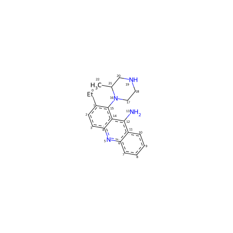 CCc1ccc2nc3ccccc3c(N)c2c1N1CCNCC1C